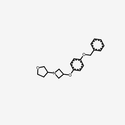 c1ccc(COc2ccc(OC3CN(C4CCOC4)C3)cc2)cc1